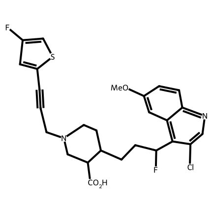 COc1ccc2ncc(Cl)c(C(F)CCC3CCN(CC#Cc4cc(F)cs4)CC3C(=O)O)c2c1